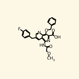 COCC(=O)Nc1nc(C(=O)O)c(OCc2ccccc2)c2ncc(Cc3ccc(F)cc3)cc12